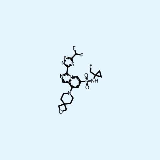 O=S(=O)(NC1(CF)CC1)c1cc(N2CCC3(CC2)COC3)c2cnc(-c3nnc(C(F)F)s3)n2c1